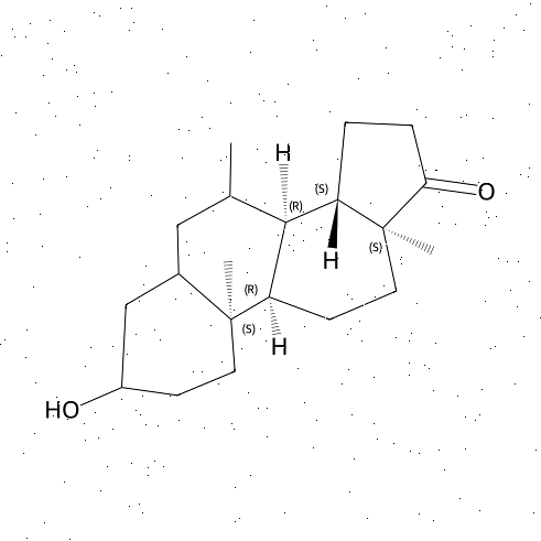 CC1CC2CC(O)CC[C@]2(C)[C@@H]2CC[C@]3(C)C(=O)CC[C@H]3[C@H]12